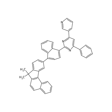 CC1(C)c2ccc(-c3ccc(-c4nc(-c5ccccc5)cc(-c5cccnc5)n4)c4ccccc34)cc2-c2c1ccc1ccccc21